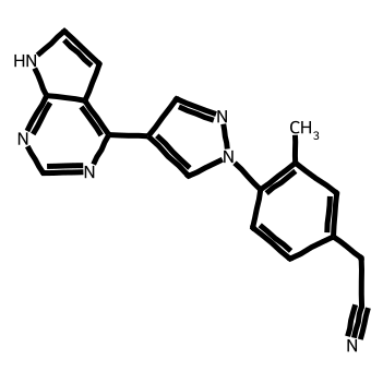 Cc1cc(CC#N)ccc1-n1cc(-c2ncnc3[nH]ccc23)cn1